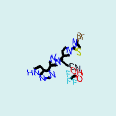 N#CCC(C1CCN(c2nc(Br)cs2)C1)n1cc(-c2ncnc3[nH]ccc23)cn1.O=C(O)C(F)(F)F